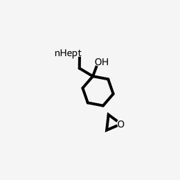 C1CO1.CCCCCCCCC1(O)CCCCC1